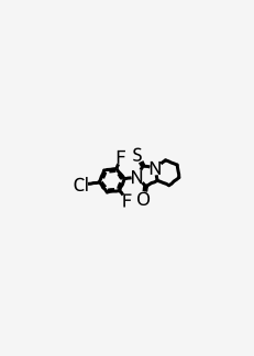 O=C1C2CCCCN2C(=S)N1c1c(F)cc(Cl)cc1F